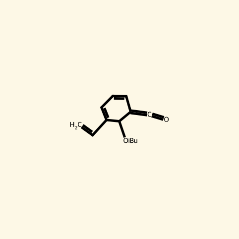 C=CC1=CC=CC(=C=O)C1OCC(C)C